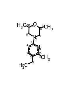 CCc1ccc(N2CC(C)OC(C)C2)nc1C